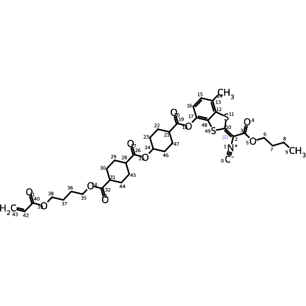 [C-]#[N+]/C(C(=O)OCCCC)=C1/Sc2c(C)ccc(OC(=O)C3CCC(OC(=O)C4CCC(C(=O)OCCCCOC(=O)C=C)CC4)CC3)c2S1